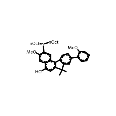 CCCCCCCCN(CCCCCCCC)c1cc2c3c(cc(O)c2cc1OC)C(C)(C)c1cc(-c2ccccc2OC)ccc1-3